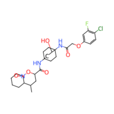 CC(CC(ON=O)C(=O)NC12CCC(NC(=O)COc3ccc(Cl)c(F)c3)(CC1)C(O)C2)C1CCCCC1